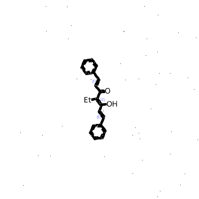 CC/C(C(=O)/C=C/c1ccccc1)=C(O)\C=C\c1ccccc1